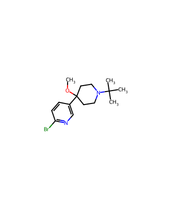 COC1(c2ccc(Br)nc2)CCN(C(C)(C)C)CC1